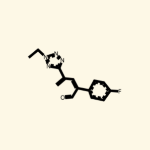 C=C(C=C(C=O)c1ccc(F)cc1)c1nnn(CC)n1